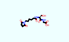 O=C(O)CNC(=O)[C@H](CO)NC(=O)CCCCCN1C(=O)C=CC1=O